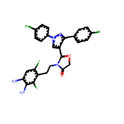 Nc1cc(F)c(CCN2C(=O)COC2c2cn(-c3ccc(Br)cc3)nc2-c2ccc(F)cc2)c(F)c1N